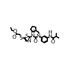 CCOC(=O)CSc1cnc(NC(=O)N(CC2CCCC2)c2cccc(NC(=O)C(C)C)c2)s1